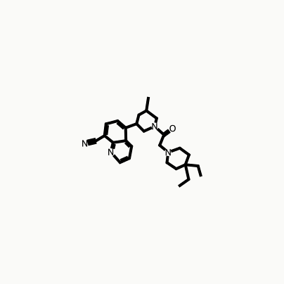 CCC1(CC)CCN(CC(=O)N2CC(C)CC(c3ccc(C#N)c4ncccc34)C2)CC1